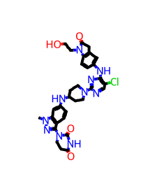 Cn1nc(N2CCC(=O)NC2=O)c2ccc(NC3CCN(c4ncc(Cl)c(Nc5ccc6c(c5)CC(=O)N6CCO)n4)CC3)cc21